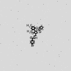 Cc1cc(C)c(C2=C(OC(=O)N3CCCC3)CC(CCNC(=O)c3ccc(Br)cn3)C2=O)c(C)c1